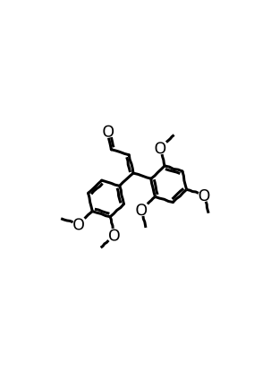 COc1cc(OC)c(/C(=C/C=O)c2ccc(OC)c(OC)c2)c(OC)c1